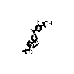 CN1CCn2c(C(=O)C(C)(C)C)ccc2C12CCN(C(=O)c1ccc(C(C)(C)O)c(F)c1)CC2